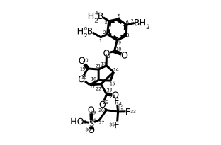 BCc1c(B)cc(B)cc1C(=O)OC1C2CC3C(OC(=O)C31)C2C(=O)OC(CS(=O)(=O)O)C(F)(F)F